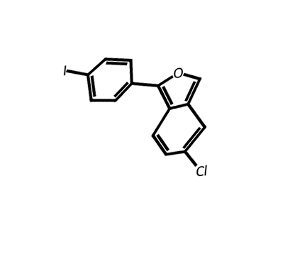 Clc1ccc2c(-c3ccc(I)cc3)occ2c1